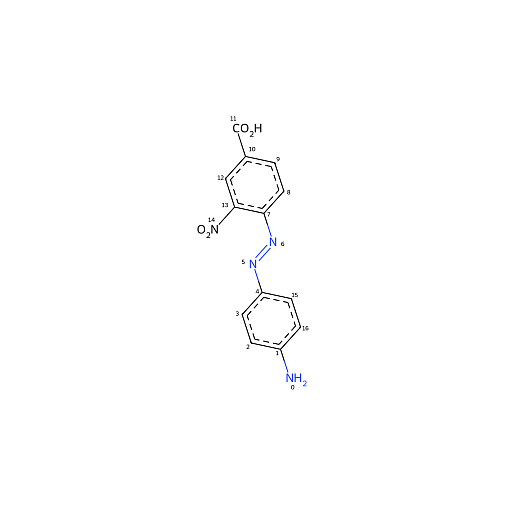 Nc1ccc(N=Nc2ccc(C(=O)O)cc2[N+](=O)[O-])cc1